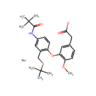 COc1ccc(CC(=O)[O-])cc1Oc1ccc(NC(=O)C(C)(C)C)cc1CSC(C)(C)C.[Na+]